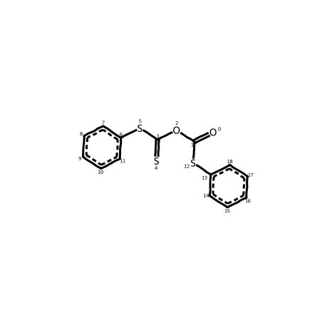 O=C(OC(=S)Sc1ccccc1)Sc1ccccc1